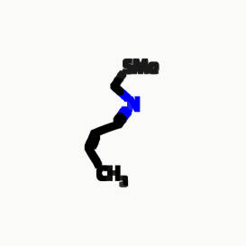 C/C=C\C=N/CSC